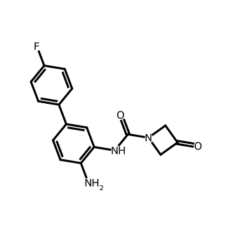 Nc1ccc(-c2ccc(F)cc2)cc1NC(=O)N1CC(=O)C1